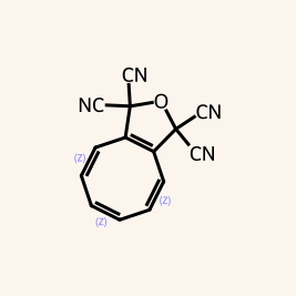 N#CC1(C#N)OC(C#N)(C#N)C2=C1\C=C/C=C\C=C/2